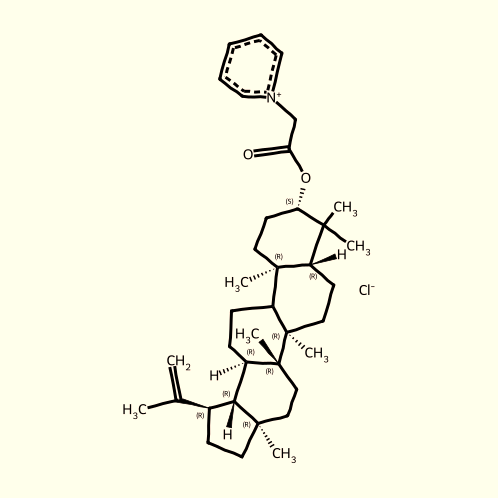 C=C(C)[C@@H]1CC[C@]2(C)CC[C@]3(C)[C@H](CCC4[C@@]5(C)CC[C@H](OC(=O)C[n+]6ccccc6)C(C)(C)[C@@H]5CC[C@]43C)[C@@H]12.[Cl-]